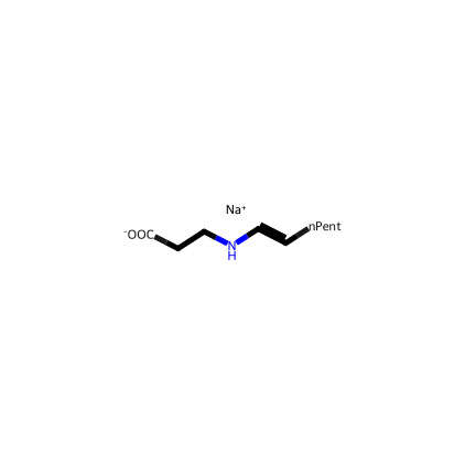 CCCCCC=CNCCC(=O)[O-].[Na+]